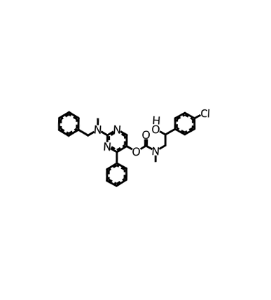 CN(CC(O)c1ccc(Cl)cc1)C(=O)Oc1cnc(N(C)Cc2ccccc2)nc1-c1ccccc1